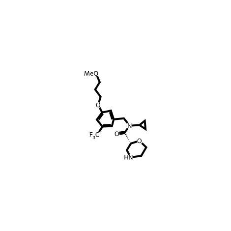 COCCCOc1cc(CN(C(=O)[C@H]2CNCCO2)C2CC2)cc(C(F)(F)F)c1